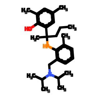 CCCC(C)(Pc1c(C)cccc1CN(C(C)C)C(C)C)c1cc(C)cc(C)c1O